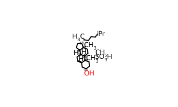 CC(C)CCCC(C)[C@H]1CC[C@H]2[C@@H]3CC=C4C[C@@H](O)CC[C@]4(C)[C@H]3CC[C@]12C.CS(=O)(=O)O